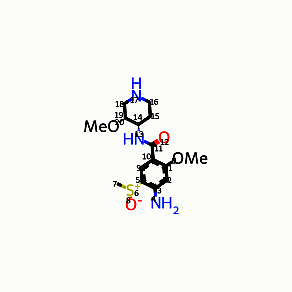 COc1cc(N)c([S+](C)[O-])cc1C(=O)N[C@H]1CCNC[C@H]1OC